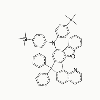 CC(C)(C)c1ccc(N(c2ccc([Si](C)(C)C)cc2)c2cc3c(c4oc5ccccc5c24)-c2c(ccc4cccnc24)C3(c2ccccc2)c2ccccc2)cc1